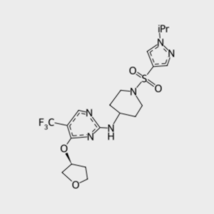 CC(C)n1cc(S(=O)(=O)N2CCC(Nc3ncc(C(F)(F)F)c(O[C@H]4CCOC4)n3)CC2)cn1